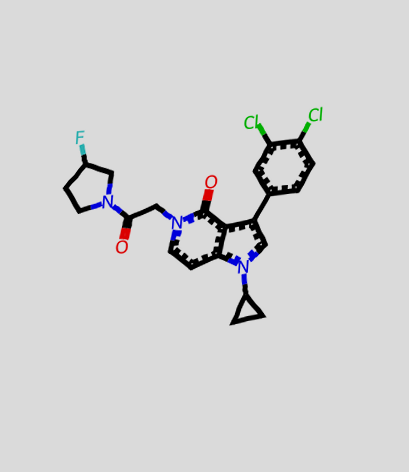 O=C(Cn1ccc2c(c(-c3ccc(Cl)c(Cl)c3)cn2C2CC2)c1=O)N1CCC(F)C1